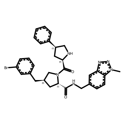 Cn1nnc2cc(CNC(=O)[C@@H]3C[C@@H](Cc4cccc(Br)c4)CN3C(=O)[C@H]3C[C@@H](c4ccccc4)CN3)ccc21